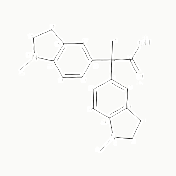 CN1CCc2cc(C(C)(C(=O)O)c3ccc4c(c3)CCN4C)ccc21